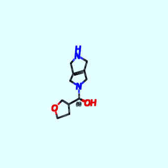 O[C@@H](C1CCOC1)N1CC2=C(CNC2)C1